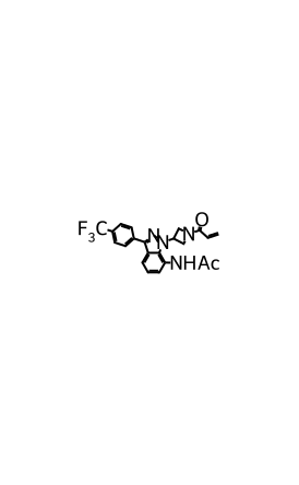 C=CC(=O)N1CC(n2nc(-c3ccc(C(F)(F)F)cc3)c3cccc(NC(C)=O)c32)C1